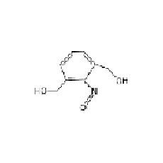 O=Nc1c(CO)cccc1CO